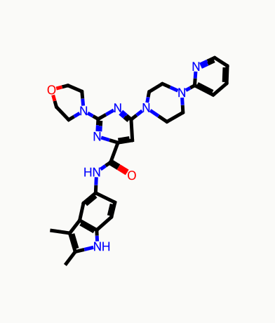 Cc1[nH]c2ccc(NC(=O)c3cc(N4CCN(c5ccccn5)CC4)nc(N4CCOCC4)n3)cc2c1C